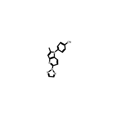 Cc1cc2nc(-n3nccn3)ccc2n1-c1ccc(C#N)cc1